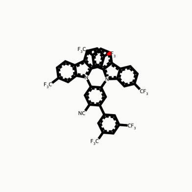 N#Cc1cc(-n2c3cc(C(F)(F)F)ccc3c3ccc(C(F)(F)F)cc32)c(-n2c3cc(C(F)(F)F)ccc3c3ccc(C(F)(F)F)cc32)cc1-c1cc(C(F)(F)F)cc(C(F)(F)F)c1